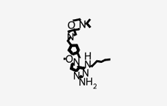 CCCCCNc1nc(N)nc2ccn(Cc3ccc(CN4CC5(C4)CN(C(C)C)CCO5)cc3OC)c12